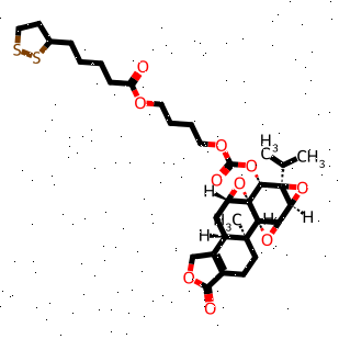 CC(C)[C@]12O[C@H]1[C@@H]1O[C@]13[C@]1(O[C@H]1C[C@H]1C4=C(CC[C@@]13C)C(=O)OC4)[C@@H]2OC(=O)OCCCCOC(=O)CCCCC1CCSS1